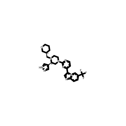 FC(F)(F)c1ccc2ncc(-c3ccnc(N4CCN(C[C@@H]5CCCOC5)[C@H](c5cn[nH]c5)C4)n3)n2c1